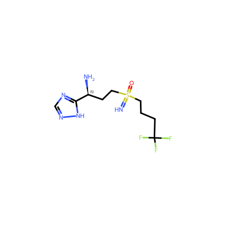 N=S(=O)(CCCC(F)(F)F)CC[C@H](N)c1ncn[nH]1